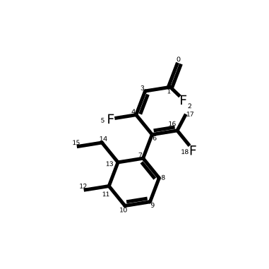 C=C(F)/C=C(F)\C(C1=CC=CC(C)C1CC)=C(/C)F